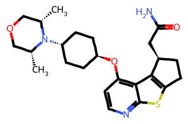 C[C@@H]1COC[C@H](C)N1[C@H]1CC[C@H](Oc2ccnc3sc4c(c23)[C@@H](CC(N)=O)CC4)CC1